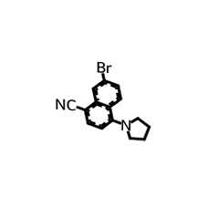 N#Cc1ccc(N2CCCC2)c2ccc(Br)cc12